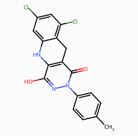 Cc1ccc(-n2nc(O)c3c(c2=O)Cc2c(Cl)cc(Cl)cc2N3)cc1